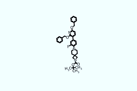 CC(C)(C)OC(=O)N1CC2(CCN(c3ccc(-c4ccc(OCc5ccccc5)nc4OCc4ccccc4)cc3F)CC2)C1